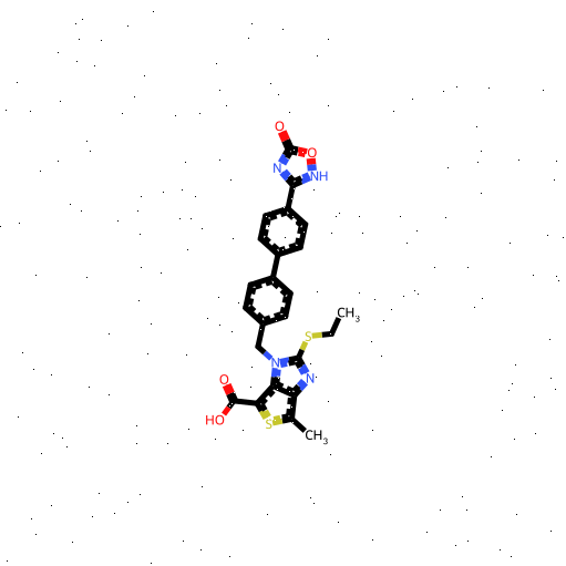 CCSc1nc2c(C)sc(C(=O)O)c2n1Cc1ccc(-c2ccc(-c3nc(=O)o[nH]3)cc2)cc1